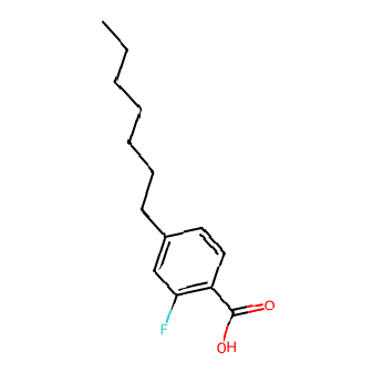 CCCCCCCc1ccc(C(=O)O)c(F)c1